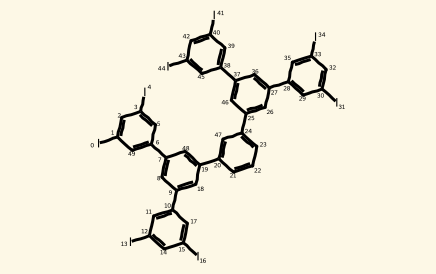 Ic1cc(I)cc(-c2cc(-c3cc(I)cc(I)c3)cc(-c3cccc(-c4cc(-c5cc(I)cc(I)c5)cc(-c5cc(I)cc(I)c5)c4)c3)c2)c1